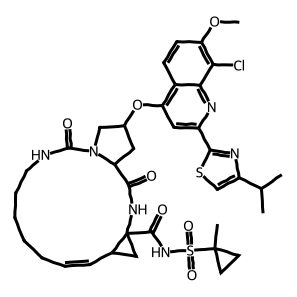 COc1ccc2c(OC3CC4C(=O)NC5(C(=O)NS(=O)(=O)C6(C)CC6)CC5C=CCCCCCNC(=O)N4C3)cc(-c3nc(C(C)C)cs3)nc2c1Cl